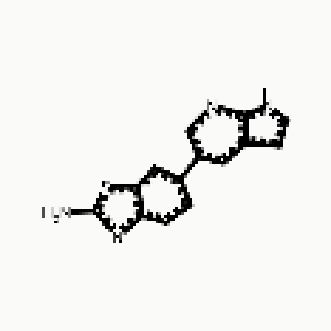 Nc1nc2ccc(-c3cnc4[nH]ccc4c3)cc2s1